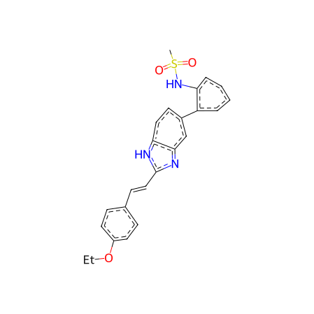 CCOc1ccc(/C=C/c2nc3cc(-c4ccccc4NS(C)(=O)=O)ccc3[nH]2)cc1